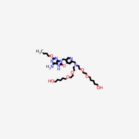 CCCCOc1nc(N)c2[nH]c(=O)n(Cc3ccc(CN(CCOCCOCCCCCO)CCOCCOCCCCCO)nc3)c2n1